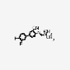 CN(C)C=Nc1ccc(-c2ccc(F)c(F)c2)cc1C#N